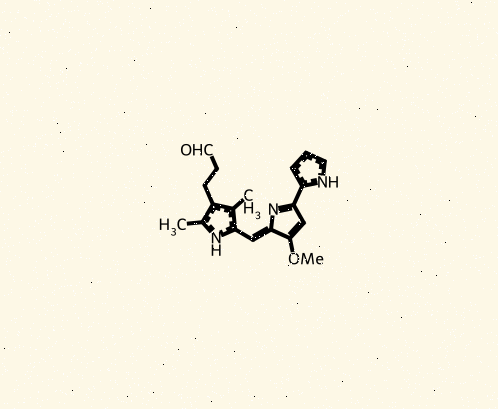 COC1=CC(c2ccc[nH]2)=N/C1=C\c1[nH]c(C)c(CCC=O)c1C